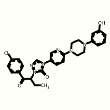 CCC(C(=O)c1ccc(Cl)cc1)n1ncn(-c2ccc(N3CCN(c4cccc(O)c4)CC3)nc2)c1=O